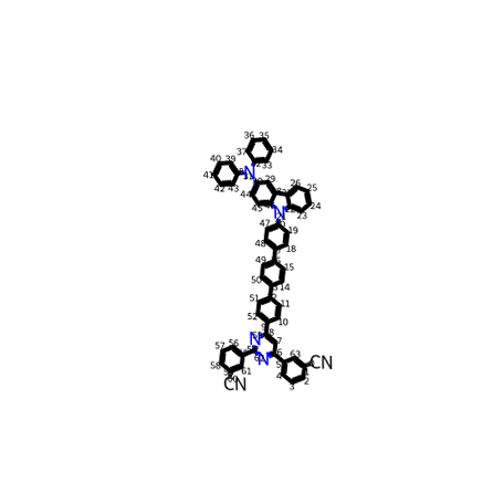 N#Cc1cccc(-c2cc(-c3ccc(-c4ccc(-c5ccc(-n6c7ccccc7c7cc(N(c8ccccc8)c8ccccc8)ccc76)cc5)cc4)cc3)nc(-c3cccc(C#N)c3)n2)c1